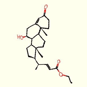 CCOC(=O)/C=C/[C@@H](C)[C@H]1CCC2C3C(CC[C@@]21C)[C@@]1(C)CCC(=O)C=C1C[C@@H]3O